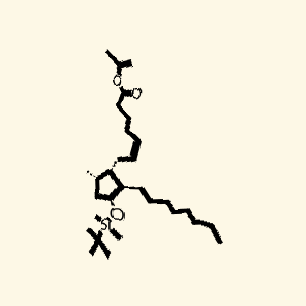 CCCCCCCC[C@@H]1[C@@H](C/C=C\CCCC(=O)OC(C)C)[C@@H](C)C[C@H]1O[Si](C)(C)C(C)(C)C